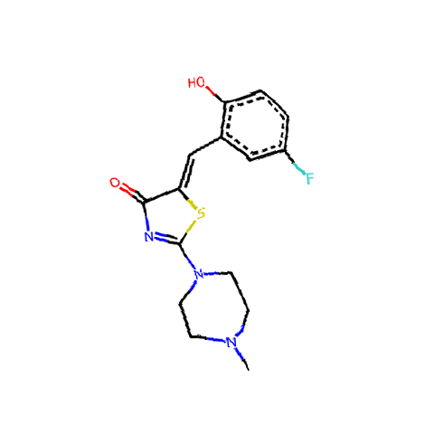 CN1CCN(C2=NC(=O)/C(=C/c3cc(F)ccc3O)S2)CC1